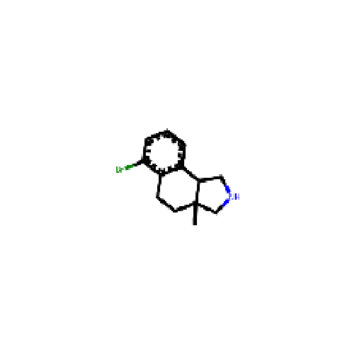 CC12CCc3c(Br)cccc3C1CNC2